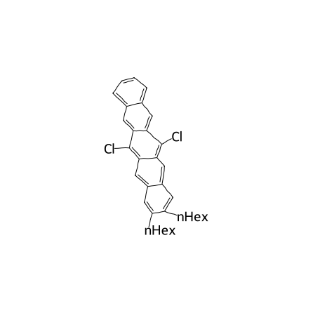 CCCCCCc1cc2cc3c(Cl)c4cc5ccccc5cc4c(Cl)c3cc2cc1CCCCCC